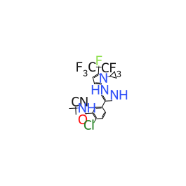 CC(C)(C#N)NC(=O)c1cc(/C(C=N)=C/Nc2ccc(C(F)(C(F)(F)F)C(F)(F)F)n2C2CC2)ccc1Cl